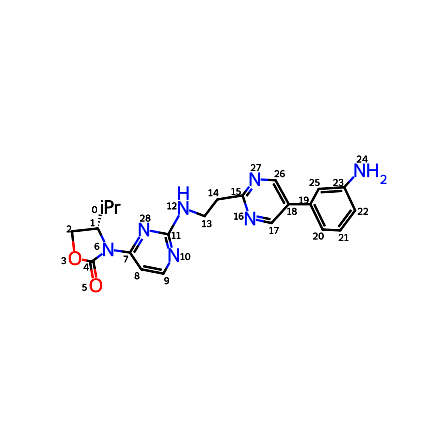 CC(C)[C@H]1COC(=O)N1c1ccnc(NCCc2ncc(-c3cccc(N)c3)cn2)n1